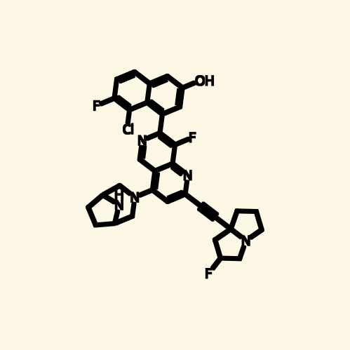 Oc1cc(-c2ncc3c(N4CC5CCC(C4)N5)cc(C#CC45CCCN4CC(F)C5)nc3c2F)c2c(Cl)c(F)ccc2c1